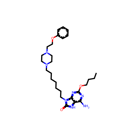 CCCCOc1nc(N)c2[nH]c(=O)n(CCCCCCCN3CCN(CCOc4ccccc4)CC3)c2n1